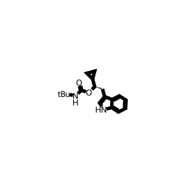 CC(C)(C)NC(=O)O[C@@H](Cc1c[nH]c2ccccc12)C1CC1